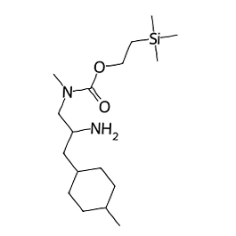 CC1CCC(CC(N)CN(C)C(=O)OCC[Si](C)(C)C)CC1